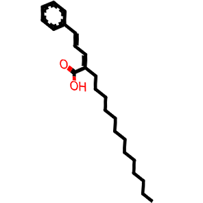 CCCCCCCCCCCCCC(=CC=Cc1ccccc1)C(=O)O